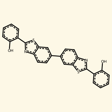 Oc1ccccc1-c1nc2ccc(-c3ccc4nc(-c5ccccc5O)sc4c3)cc2s1